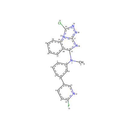 CN(c1cccc(-c2ccc(F)nc2)c1)c1nc2nnc(Cl)n2c2ccccc12